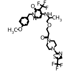 COc1ccc(Cn2ncc(NC(C)COCCC(=O)N3CCN(c4ncc(C(F)(F)F)s4)CC3)c(C(F)(F)F)c2=O)cc1